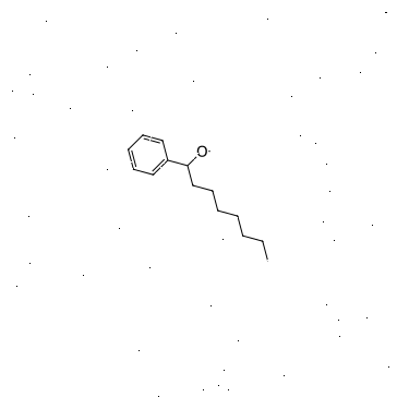 CCCCCCCC([O])c1ccccc1